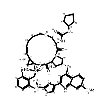 COc1ccc2c(O[C@@H]3C[C@H]4C(=O)N[C@]5(P(=O)(O)Cc6c(F)cccc6F)C[C@H]5/C=C\CCCOC[C@H](NC(=O)OC5CCCC5)C(=O)N4C3)cc(-c3csc(NC(C)C)n3)nc2c1